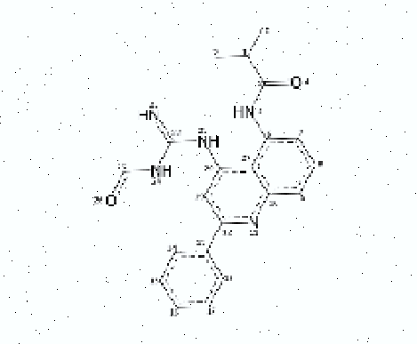 CC(C)C(=O)Nc1cccc2nc(-c3ccccc3)cc(NC(=N)NC=O)c12